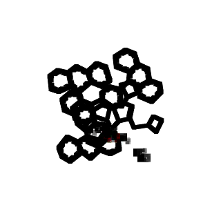 Cl.Cl.[CH3][Zr]([CH3])(=[SiH2])([CH]1C(CC2CCC2)=Cc2c(-c3c4ccccc4cc4ccccc34)ccc(-c3c4ccccc4cc4ccccc34)c21)[CH]1C(CC2CCC2)=Cc2c(-c3c4ccccc4cc4ccccc34)ccc(-c3c4ccccc4cc4ccccc34)c21